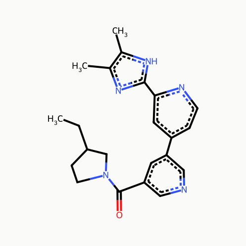 CCC1CCN(C(=O)c2cncc(-c3ccnc(-c4nc(C)c(C)[nH]4)c3)c2)C1